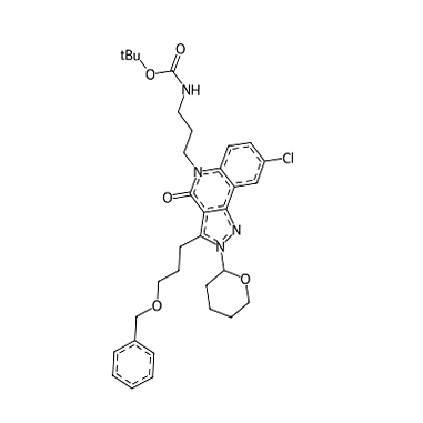 CC(C)(C)OC(=O)NCCCn1c(=O)c2c(CCCOCc3ccccc3)n(C3CCCCO3)nc2c2cc(Cl)ccc21